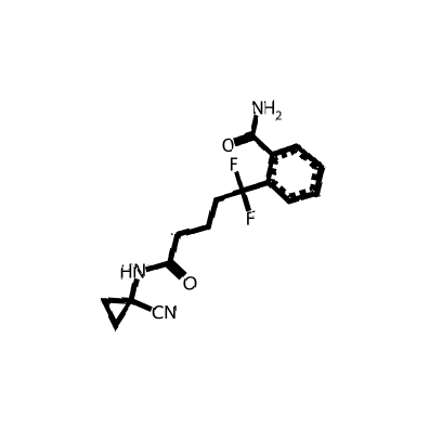 N#CC1(NC(=O)[CH]CCC(F)(F)c2ccccc2C(N)=O)CC1